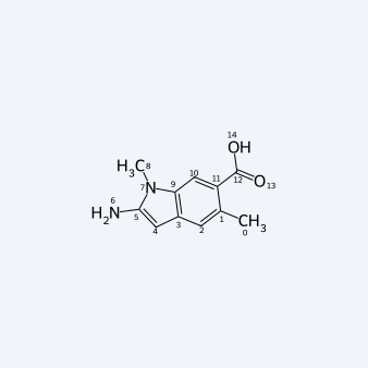 Cc1cc2cc(N)n(C)c2cc1C(=O)O